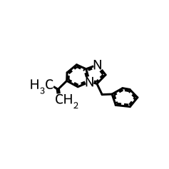 C=C(C)c1ccc2ncc(Cc3ccccc3)n2c1